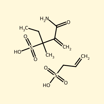 C=C(C(N)=O)C(C)(CC)S(=O)(=O)O.C=CCS(=O)(=O)O